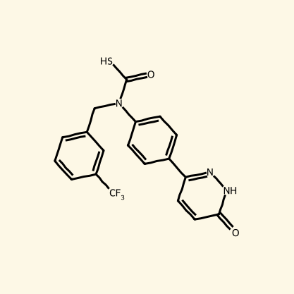 O=C(S)N(Cc1cccc(C(F)(F)F)c1)c1ccc(-c2ccc(=O)[nH]n2)cc1